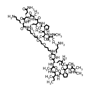 CCC(C)[C@H](NC(=O)[C@@H]1CCCN1C(=O)[C@@H](NC(=O)[C@H](C)NC)C(C)C)C(=O)N[C@@H](C)C(=O)N[C@@H](CCC(N)=O)C(=O)N[C@@H](CCCCN)C(=O)NCCCOCCOCCOCCCNC(=O)[C@H](CCCCN)NC(=O)[C@H](CCC(N)=O)NC(=O)[C@H](C)NC(=O)[C@@H](NC(=O)[C@@H]1CCCN1C(=O)[C@@H](NC(=O)[C@H](C)NC)C(C)C)[C@@H](C)CC